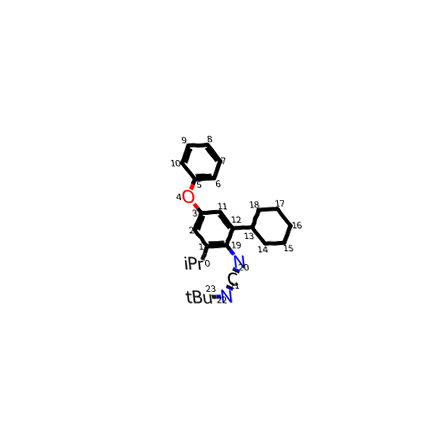 CC(C)c1cc(Oc2ccccc2)cc(C2CCCCC2)c1N=C=NC(C)(C)C